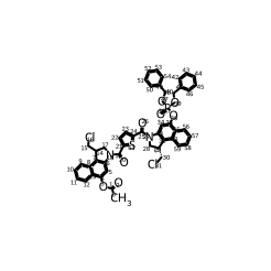 CC(=O)Oc1cc2c(c3ccccc13)C(CCl)CN2C(=O)c1ccc(C(=O)N2C[C@@H](CCl)c3c2cc(OP(=O)(OCc2ccccc2)OCc2ccccc2)c2ccccc32)s1